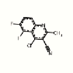 Cc1nc2ccc(F)c(F)c2c(Cl)c1C#N